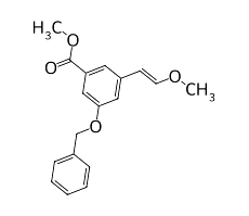 COC=Cc1cc(OCc2ccccc2)cc(C(=O)OC)c1